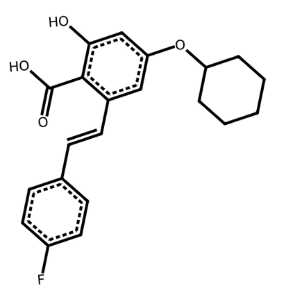 O=C(O)c1c(O)cc(OC2CCCCC2)cc1C=Cc1ccc(F)cc1